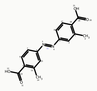 Cc1cc(/N=N/c2ccc(C(=O)O)c(C)c2)ccc1C(=O)O